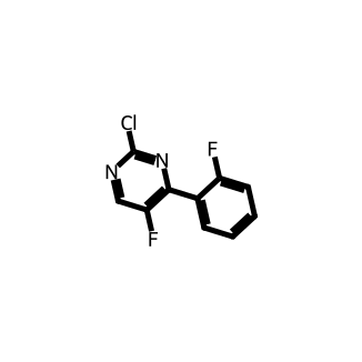 Fc1ccccc1-c1nc(Cl)ncc1F